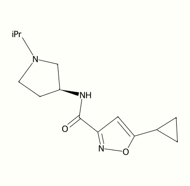 CC(C)N1CC[C@H](NC(=O)c2cc(C3CC3)on2)C1